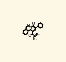 CCN(CC)C(=O)c1cc(-c2ccccc2)c(=O)n2ncc3ccccc3c12